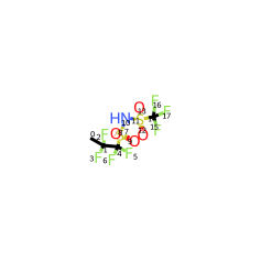 CC(F)(F)C(F)(F)S(=O)(=O)NS(=O)(=O)C(F)(F)F